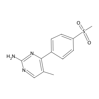 Cc1cnc(N)nc1-c1ccc(S(C)(=O)=O)cc1